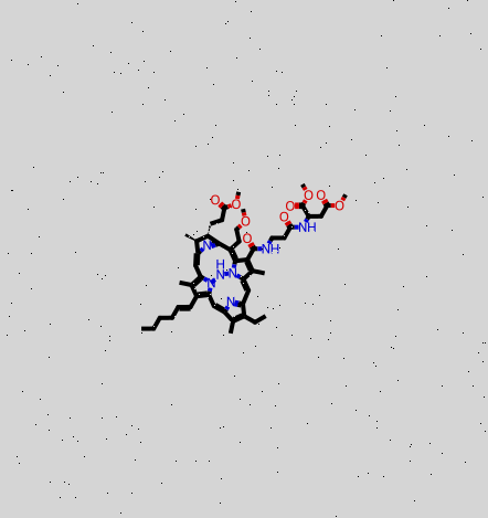 CCCC/C=C/c1c(C)c2n3c1/C=C1N=C(/C=c4/c(C)c(C(=O)NCCC(=O)NC(CC(=O)OC)C(=O)OC)/c(n4N3)=C(\CCOC)C3=N/C(=C\2)[C@@H](C)[C@@H]3CCC(=O)OC)C(CC)=C\1C